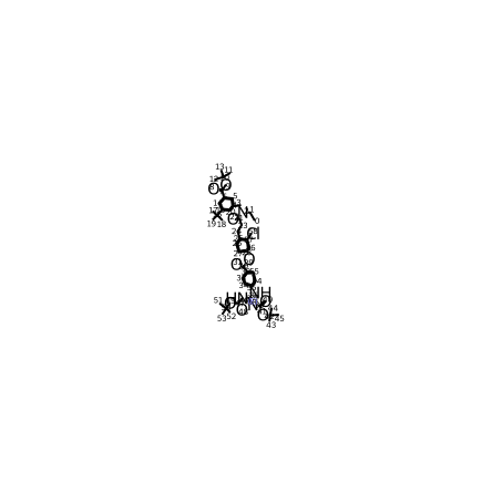 CCN(Cc1cc(C(=O)OC(C)(C)C)cc(C(C)(C)C)c1)C(=O)CCc1ccc(OC(=O)c2ccc(N/C(=N\C(=O)OC(C)(C)C)NC(=O)OC(C)(C)C)cc2)cc1Cl